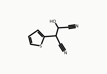 N#CC(O)C(C#N)c1cccs1